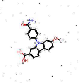 COc1ccc2c3ccc(C(O)O)cc3n(-c3ccc(C(N)=O)cc3)c2c1